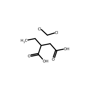 CCC(CC(=O)O)C(=O)O.ClCCl